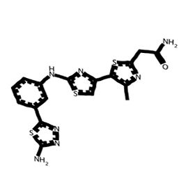 Cc1nc(CC(N)=O)sc1-c1csc(Nc2cccc(-c3nnc(N)s3)c2)n1